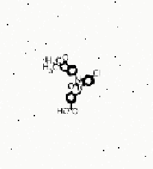 CC1(C)Cc2cc(-n3c(=O)n(Cc4cccc(C(=O)O)c4)c4ccc(Cl)cc43)ccc2C1=O